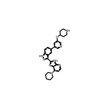 c1cc(N2CCCCC2)c2nc(-c3n[nH]c4ccc(-c5cncc(OC6CCNCC6)c5)cc34)[nH]c2n1